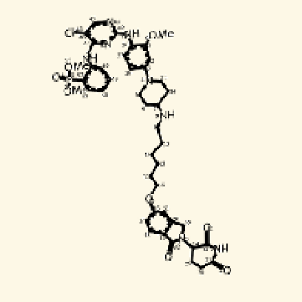 COc1cc(N2CCC(NCCCCCCOc3ccc4c(c3)CN(C3CCC(=O)NC3=O)C4=O)CC2)ccc1Nc1ncc(Cl)c(Nc2ccccc2P(=O)(OC)OC)n1